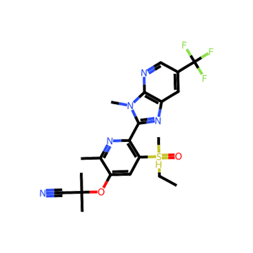 CC[SH](C)(=O)c1cc(OC(C)(C)C#N)c(C)nc1-c1nc2cc(C(F)(F)F)cnc2n1C